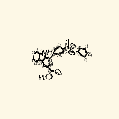 O=C(O)c1cc2c([nH]c3ccccc32)c(-c2ccc(NS(=O)(=O)c3ccccc3)cc2)n1